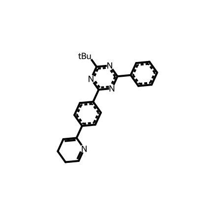 CC(C)(C)c1nc(-c2ccccc2)nc(-c2ccc(C3=CCCC=N3)cc2)n1